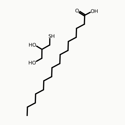 CCCCCCCCCCCCCCCC(=O)O.OCC(O)CS